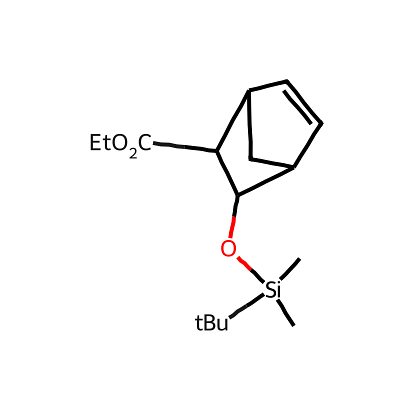 CCOC(=O)C1C2C=CC(C2)C1O[Si](C)(C)C(C)(C)C